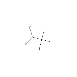 FC(I)C(I)(I)I